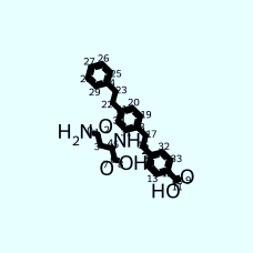 NC(=O)CC(N)C(=O)O.O=C(O)c1ccc(CCc2ccc(CCc3ccccc3)cc2)cc1